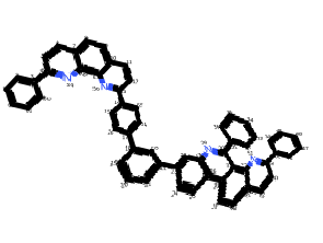 c1ccc(-c2ccc3ccc4ccc(-c5ccc(-c6cccc(-c7ccc8c(c7)nc(-c7ccccc7)c7c8ccc8ccc(-c9ccccc9)nc87)c6)cc5)nc4c3n2)cc1